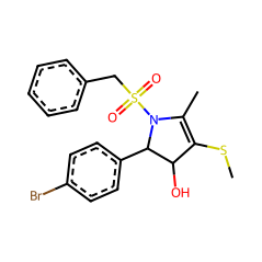 CSC1=C(C)N(S(=O)(=O)Cc2ccccc2)C(c2ccc(Br)cc2)C1O